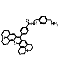 NCc1ccc(CNC(=O)c2ccc(C3=c4cc5c6c(c4Oc4c3cc3c7c4CCCN7CCC3)CCC[N+]=6CCC5)cc2)cc1